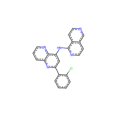 Clc1ccccc1-c1cc(Nc2nccc3cnccc23)c2ncccc2n1